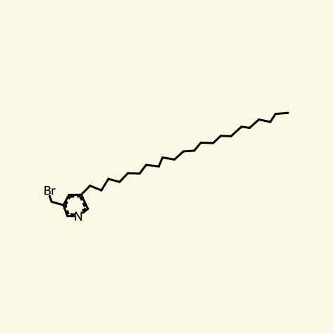 CCCCCCCCCCCCCCCCCCCCCCc1cncc(CBr)c1